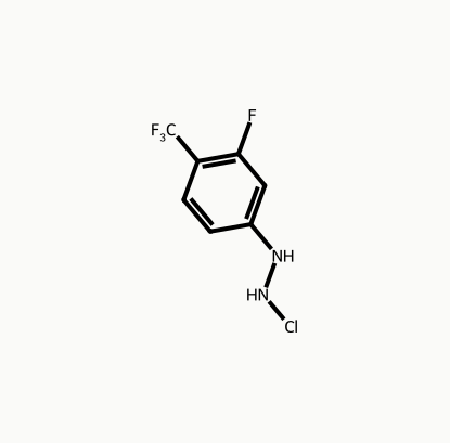 Fc1cc(NNCl)ccc1C(F)(F)F